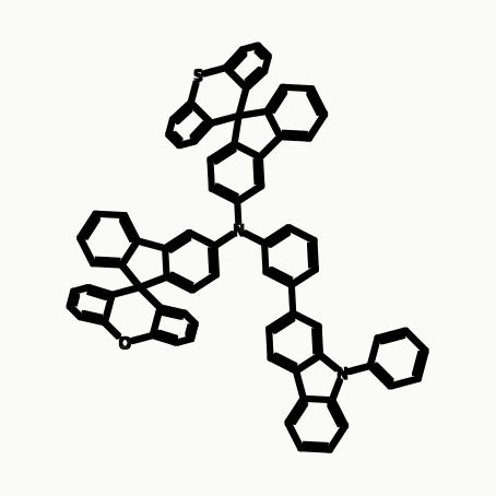 c1ccc(-n2c3ccccc3c3ccc(-c4cccc(N(c5ccc6c(c5)-c5ccccc5C65c6ccccc6Oc6ccccc65)c5ccc6c(c5)-c5ccccc5C65c6ccccc6Sc6ccccc65)c4)cc32)cc1